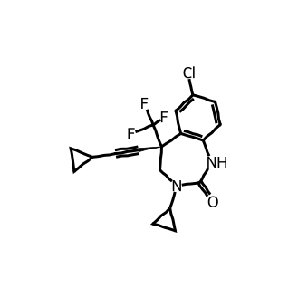 O=C1Nc2ccc(Cl)cc2[C@@](C#CC2CC2)(C(F)(F)F)CN1C1CC1